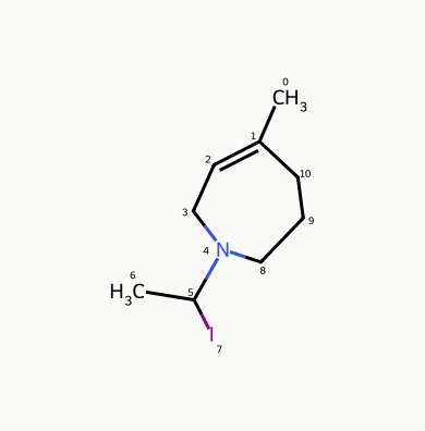 CC1=CCN(C(C)I)CCC1